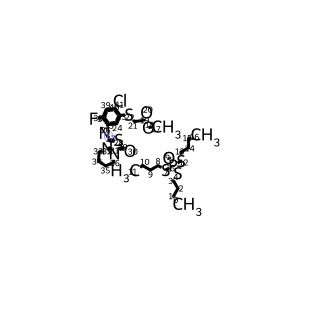 CCCCSP(=O)(SCCCC)SCCCC.COC(=O)CSc1cc(/N=c2\sc(=O)n3n2CCCC3)c(F)cc1Cl